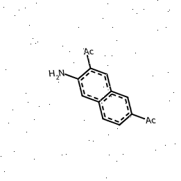 CC(=O)c1ccc2cc(N)c(C(C)=O)cc2c1